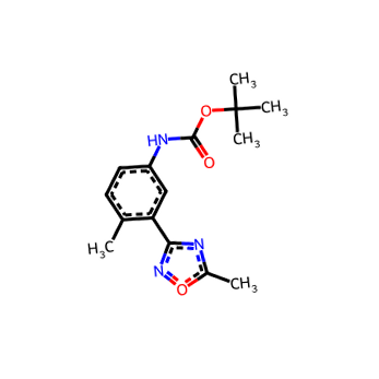 Cc1nc(-c2cc(NC(=O)OC(C)(C)C)ccc2C)no1